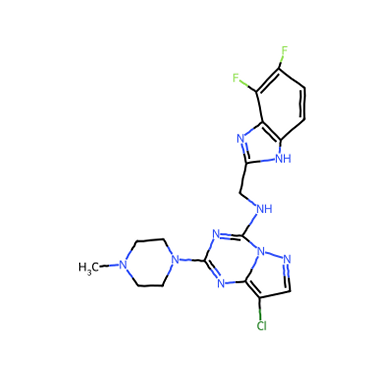 CN1CCN(c2nc(NCc3nc4c(F)c(F)ccc4[nH]3)n3ncc(Cl)c3n2)CC1